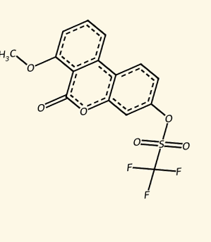 COc1cccc2c1c(=O)oc1cc(OS(=O)(=O)C(F)(F)F)ccc12